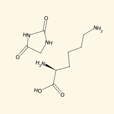 NCCCC[C@H](N)C(=O)O.O=C1CNC(=O)N1